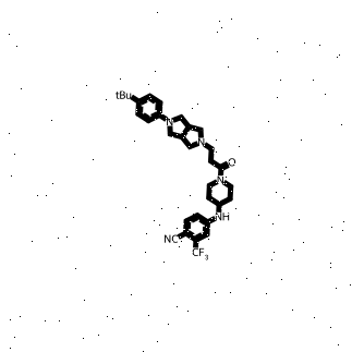 CC(C)(C)c1ccc(N2CC3CN(CCC(=O)N4CCC(Nc5ccc(C#N)c(C(F)(F)F)c5)CC4)CC3C2)cc1